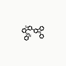 c1ccc(-n2c3ccccc3c3cc(-c4ccc5sc6cccc(-n7cnc8ccccc87)c6c5c4)ccc32)cc1